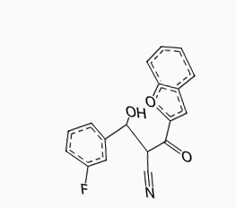 N#CC(C(=O)c1cc2ccccc2o1)C(O)c1cccc(F)c1